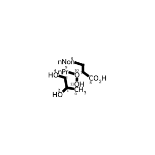 CC(O)CO.CCCCCCCCCCCC(=O)O.CCCOO